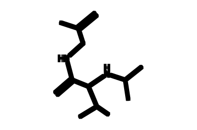 C=C(C)CNC(=C)C(NC(C)C)C(C)C